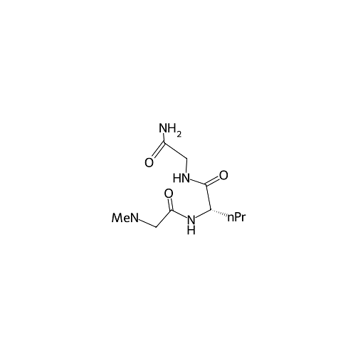 CCC[C@H](NC(=O)CNC)C(=O)NCC(N)=O